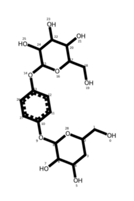 OCC1CC(O)C(O)C(Oc2ccc(OC3OC(CO)C(O)C(O)C3O)cc2)O1